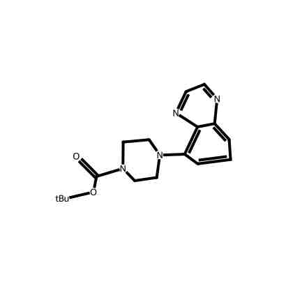 CC(C)(C)OC(=O)N1CCN(c2cccc3nccnc23)CC1